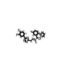 Cc1ccc(-n2nccn2)c(C(=O)N(C)CCc2noc(-c3ccc(F)c(F)c3)n2)c1